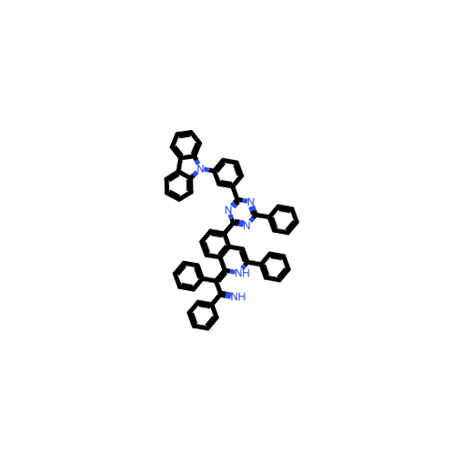 N=C(/C(=C1\NC(c2ccccc2)=Cc2c1cccc2-c1nc(-c2ccccc2)nc(-c2cccc(-n3c4ccccc4c4ccccc43)c2)n1)c1ccccc1)c1ccccc1